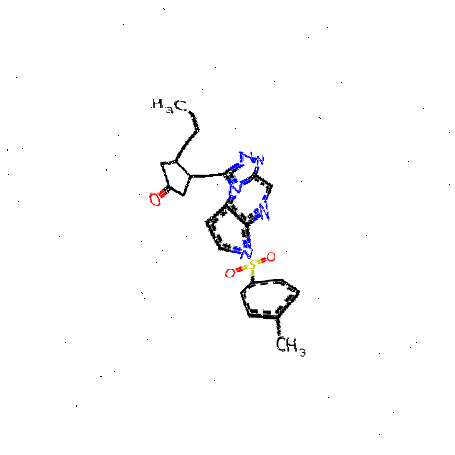 CCC1CC(=O)CC1c1nnc2cnc3c(ccn3S(=O)(=O)c3ccc(C)cc3)n12